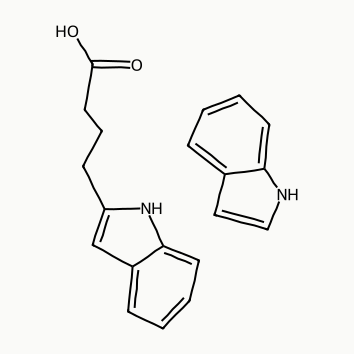 O=C(O)CCCc1cc2ccccc2[nH]1.c1ccc2[nH]ccc2c1